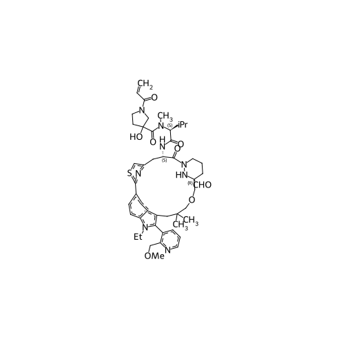 C=CC(=O)N1CCC(O)(C(=O)N(C)[C@H](C(=O)N[C@H]2Cc3csc(n3)-c3ccc4c(c3)c(c(-c3cccnc3COC)n4CC)CC(C)(C)COC[C@@]3(C=O)CCCN(N3)C2=O)C(C)C)C1